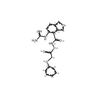 N=C(N)Nc1ccc2cocc2c1C(=O)NOC(=O)COc1ccccc1